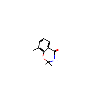 CCC1(C)NC(=O)c2cccc(C)c2O1